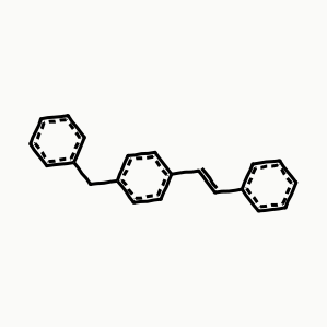 C(=Cc1ccc(Cc2ccccc2)cc1)c1ccccc1